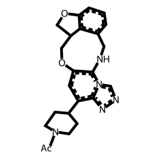 CC(=O)N1CCC(c2cc3c(n4cnnc24)NCc2cccc4c2C(CO4)CO3)CC1